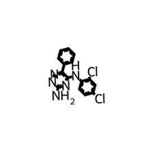 Nc1nnc(-c2ccccc2)c(Nc2ccc(Cl)cc2Cl)n1